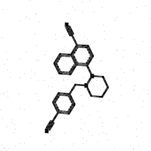 N#Cc1ccc(CN2CCCCN2c2ccc(C#N)c3ccccc23)cc1